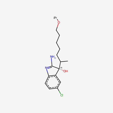 CC(C)OCCCCCC(C)[C@]1(O)C(N)=Nc2ccc(Cl)cc21